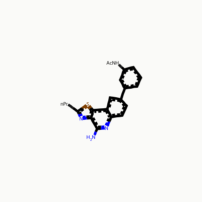 CCCc1nc2c(N)nc3ccc(-c4cccc(NC(C)=O)c4)cc3c2s1